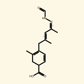 CC1=C(C/C(C)=C/C(C)=N\NC=O)C=CC(C(=O)O)C1